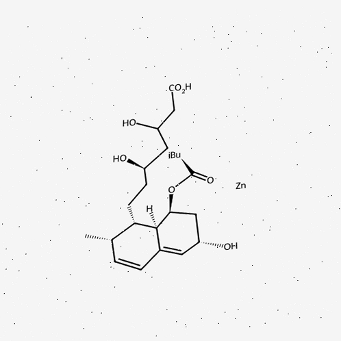 CC[C@H](C)C(=O)O[C@H]1C[C@H](O)C=C2C=C[C@H](C)[C@H](CC[C@@H](O)CC(O)CC(=O)O)[C@H]21.[Zn]